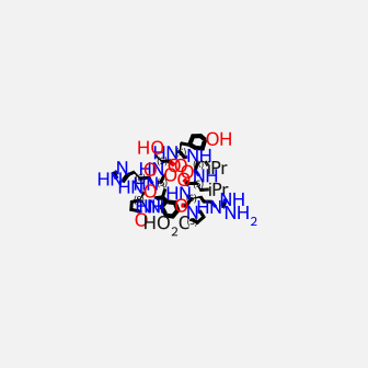 CC(C)C[C@H](NC(=O)[C@@H](CC(C)C)NC(=O)[C@H](Cc1ccc(O)cc1)NC(=O)[C@H](CO)NC(=O)[C@H](Cc1c[nH]c2ccccc12)NC(=O)[C@H](Cc1c[nH]cn1)NC(=O)[C@@H]1CCC(=O)N1)C(=O)N[C@@H](CCCNC(=N)N)C(=O)N1CCC[C@H]1C(=O)O